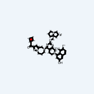 CCc1c(F)ccc2cc(O)cc(N3CCc4c(nc(OC[C@@]56CCCN5C[C@H](F)C6)nc4N4CCCn5nc(C(=O)N6CC7CC6C7)cc5C4)C3)c12